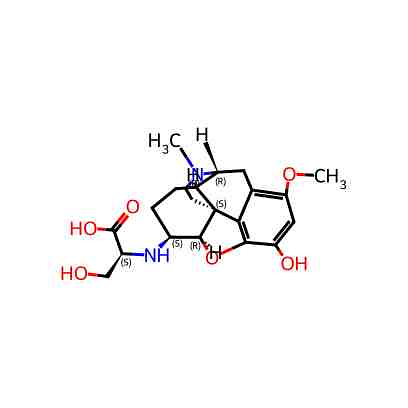 COc1cc(O)c2c3c1C[C@@H]1[C@@H]4CC[C@H](N[C@@H](CO)C(=O)O)[C@H](O2)[C@]34CCN1C